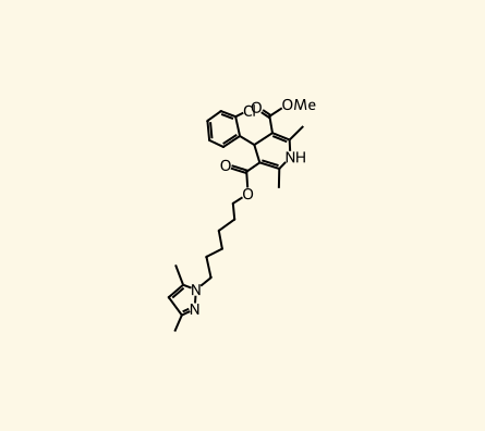 COC(=O)C1=C(C)NC(C)=C(C(=O)OCCCCCCn2nc(C)cc2C)C1c1ccccc1Cl